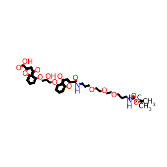 CC(C)(C)OC(=O)NCCCOCCOCCOCCCNC(=O)c1cc(=O)c2c(OCC(O)COc3cccc4oc(C(=O)O)cc(=O)c34)cccc2o1